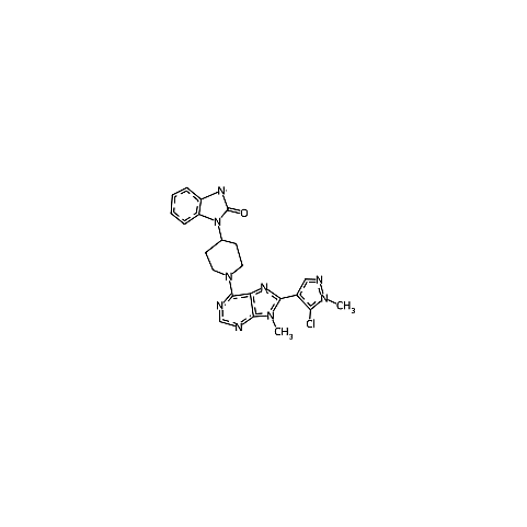 Cn1ncc(-c2nc3c(N4CCC(N5C(=O)[N]c6ccccc65)CC4)ncnc3n2C)c1Cl